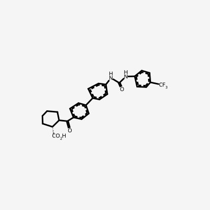 O=C(Nc1ccc(-c2ccc(C(=O)C3CCCC[C@H]3C(=O)O)cc2)cc1)Nc1ccc(C(F)(F)F)cc1